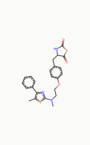 Cc1sc(N(C)CCOc2ccc(CC3NC(=O)SC3=O)cc2)nc1-c1ccccc1